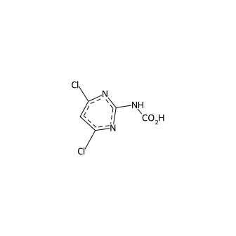 O=C(O)Nc1nc(Cl)cc(Cl)n1